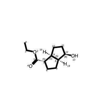 CCOC(=O)[C@H]1CC[C@H]2[C@@H]1CC[C@H]2O